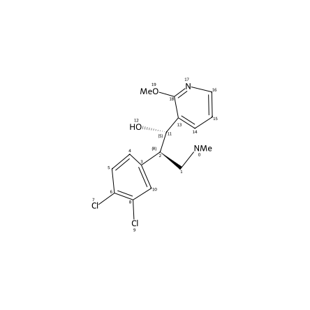 CNC[C@@H](c1ccc(Cl)c(Cl)c1)[C@H](O)c1cccnc1OC